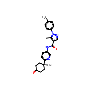 Cc1c(C(=O)Nc2ccc(C3(C#N)CCC(=O)CC3)nc2)cnn1-c1ccc(C(F)(F)F)cc1